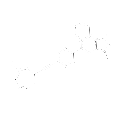 CCOC(=O)C1=CCC(C#Cc2ccc(-c3cc4c(=O)n(C)oc4c4ccccc34)nc2)=CC(C(F)(F)F)=C1